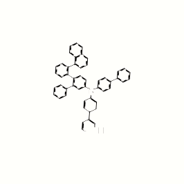 C/C=C\C(=C/C)C1C=CC(N(c2ccc(-c3ccccc3)cc2)c2ccc(-c3ccccc3-c3cccc4ccccc34)c(-c3ccccc3)c2)=CC1